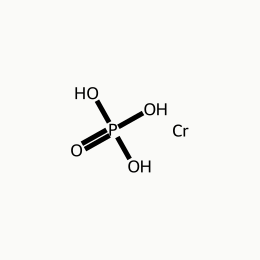 O=P(O)(O)O.[Cr]